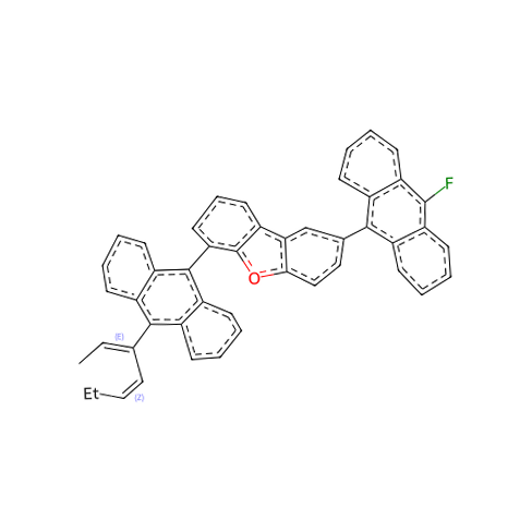 C/C=C(\C=C/CC)c1c2ccccc2c(-c2cccc3c2oc2ccc(-c4c5ccccc5c(F)c5ccccc45)cc23)c2ccccc12